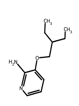 CCC(CC)COc1cccnc1N